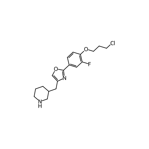 Fc1cc(-c2nc(CC3CCCNC3)co2)ccc1OCCCCl